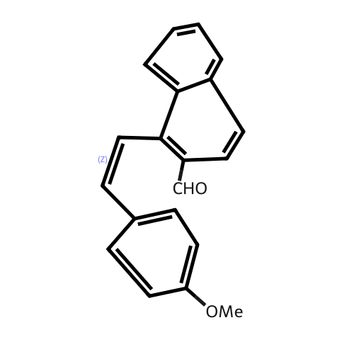 COc1ccc(/C=C\c2c(C=O)ccc3ccccc23)cc1